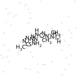 Cc1cc(Nc2nc(N)n(-c3ncnc4c(C)csc34)n2)cnc1N1CCN([C@H]2C[C@@H]3CC[C@H]2C3)C(C)C1